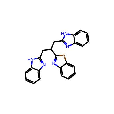 c1ccc2[nH]c(C[C](Cc3nc4ccccc4[nH]3)c3nc4ccccc4s3)nc2c1